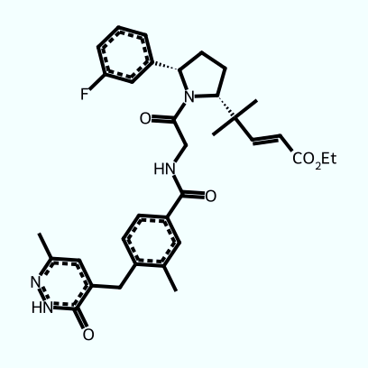 CCOC(=O)/C=C/C(C)(C)[C@H]1CC[C@@H](c2cccc(F)c2)N1C(=O)CNC(=O)c1ccc(Cc2cc(C)n[nH]c2=O)c(C)c1